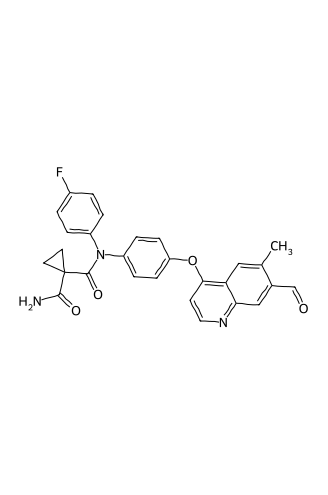 Cc1cc2c(Oc3ccc(N(C(=O)C4(C(N)=O)CC4)c4ccc(F)cc4)cc3)ccnc2cc1C=O